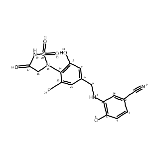 N#Cc1ccc(Cl)c(NCc2cc(O)c(N3CC(=O)NS3(=O)=O)c(F)c2)c1